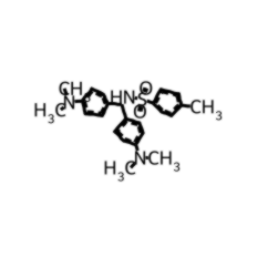 Cc1ccc(S(=O)(=O)NC(c2ccc(N(C)C)cc2)c2ccc(N(C)C)cc2)cc1